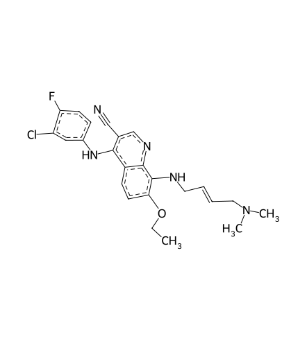 CCOc1ccc2c(Nc3ccc(F)c(Cl)c3)c(C#N)cnc2c1NCC=CCN(C)C